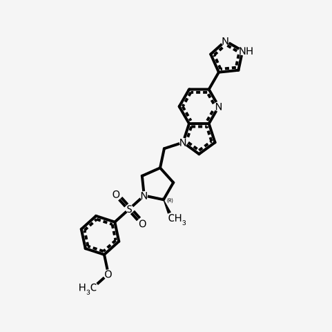 COc1cccc(S(=O)(=O)N2CC(Cn3ccc4nc(-c5cn[nH]c5)ccc43)C[C@H]2C)c1